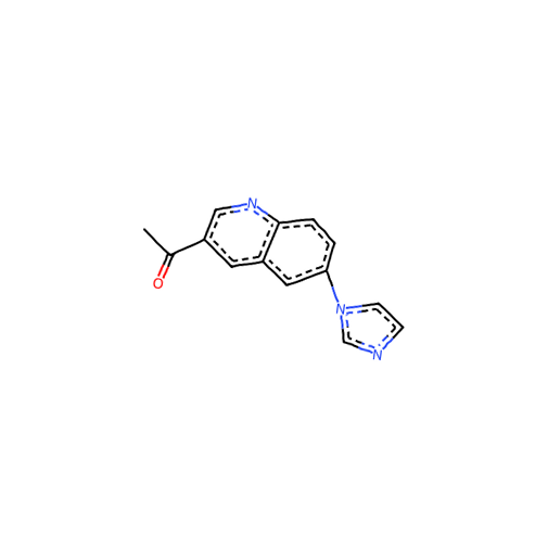 CC(=O)c1cnc2ccc(-n3ccnc3)cc2c1